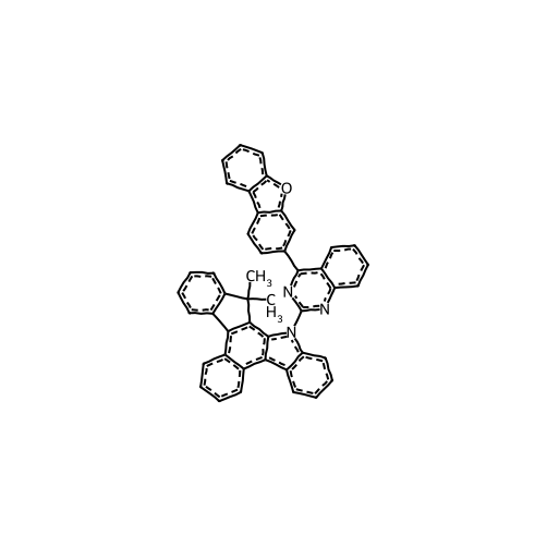 CC1(C)c2ccccc2-c2c1c1c(c3ccccc23)c2ccccc2n1-c1nc(-c2ccc3c(c2)oc2ccccc23)c2ccccc2n1